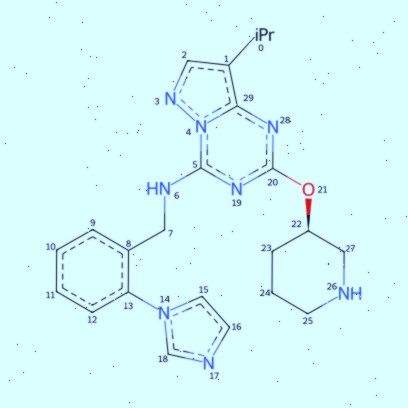 CC(C)c1cnn2c(NCc3ccccc3-n3ccnc3)nc(O[C@@H]3CCCNC3)nc12